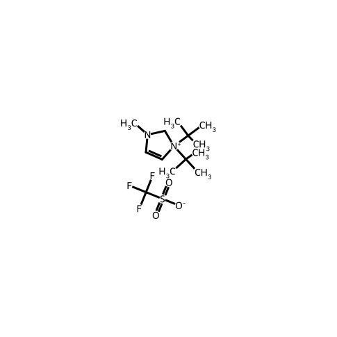 CN1C=C[N+](C(C)(C)C)(C(C)(C)C)C1.O=S(=O)([O-])C(F)(F)F